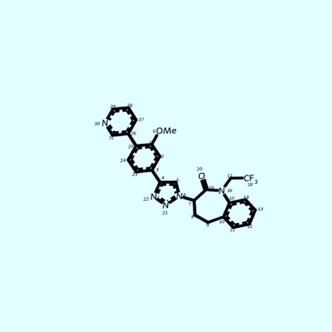 COc1cc(-c2cn(C3CCc4ccccc4N(CC(F)(F)F)C3=O)nn2)ccc1-c1cccnc1